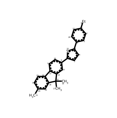 CCc1ccc(-c2ccc(-c3ccc4c(c3)C(C)(C)c3cc(C)ccc3-4)s2)cc1